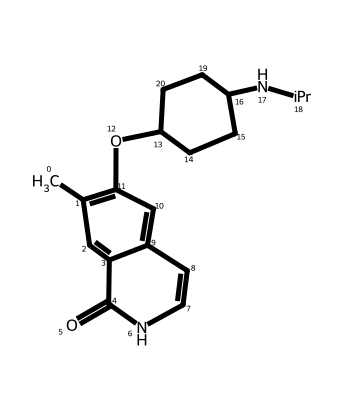 Cc1cc2c(=O)[nH]ccc2cc1OC1CCC(NC(C)C)CC1